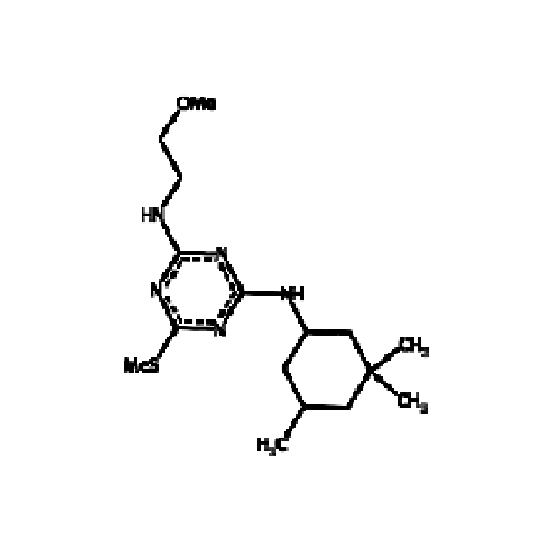 COCCNc1nc(NC2CC(C)CC(C)(C)C2)nc(SC)n1